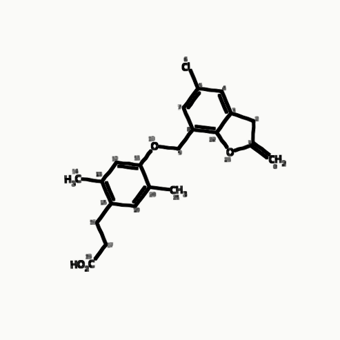 C=C1Cc2cc(Cl)cc(COc3cc(C)c(CCC(=O)O)cc3C)c2O1